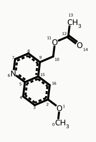 COc1ccc2nccc(COC(C)=O)c2c1